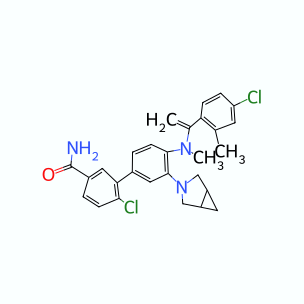 C=C(c1ccc(Cl)cc1C)N(C)c1ccc(-c2cc(C(N)=O)ccc2Cl)cc1N1CC2CC2C1